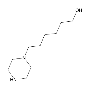 OCCCCCCN1CCNCC1